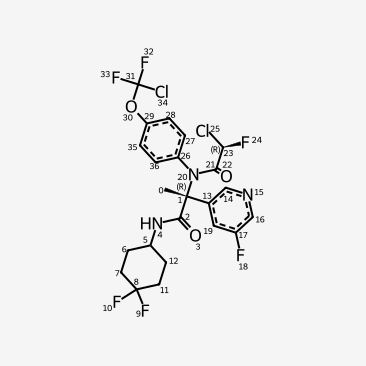 C[C@](C(=O)NC1CCC(F)(F)CC1)(c1cncc(F)c1)N(C(=O)[C@H](F)Cl)c1ccc(OC(F)(F)Cl)cc1